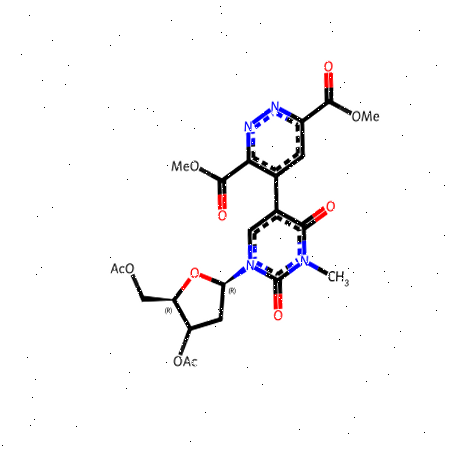 COC(=O)c1cc(-c2cn([C@H]3CC(OC(C)=O)[C@@H](COC(C)=O)O3)c(=O)n(C)c2=O)c(C(=O)OC)nn1